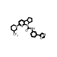 O=C(Nc1cccc(-c2cnco2)c1)N1c2nc(N3CCCC(C(F)(F)F)C3)ccc2C2CCCC21